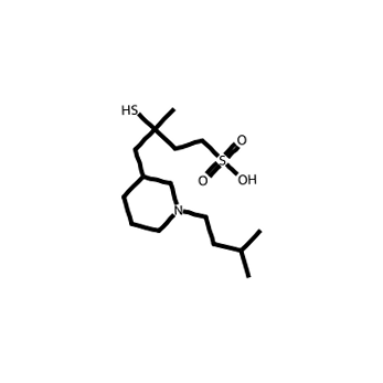 CC(C)CCN1CCCC(CC(C)(S)CCS(=O)(=O)O)C1